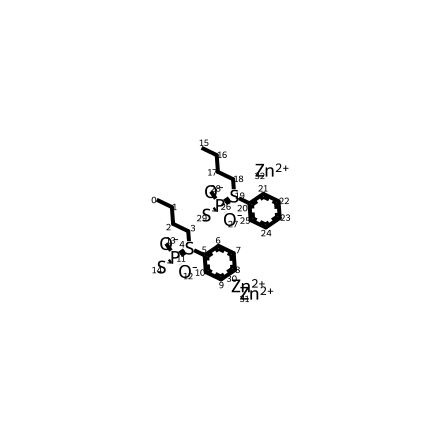 CCCCS(c1ccccc1)=P([O-])([O-])[S-].CCCCS(c1ccccc1)=P([O-])([O-])[S-].[Zn+2].[Zn+2].[Zn+2]